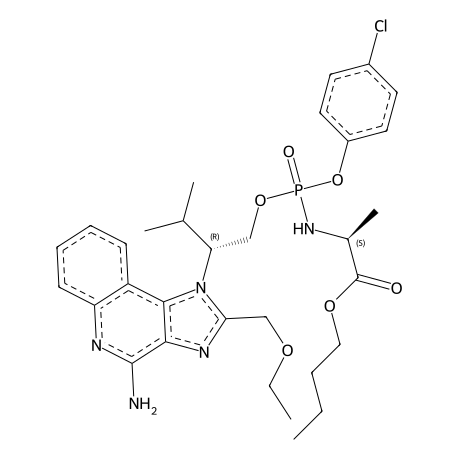 CCCCOC(=O)[C@H](C)NP(=O)(OC[C@@H](C(C)C)n1c(COCC)nc2c(N)nc3ccccc3c21)Oc1ccc(Cl)cc1